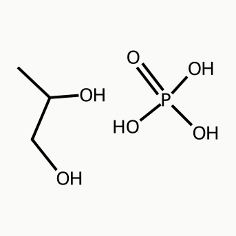 CC(O)CO.O=P(O)(O)O